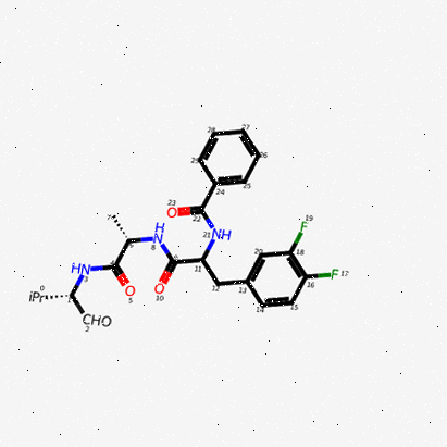 CC(C)[C@@H](C=O)NC(=O)[C@H](C)NC(=O)C(Cc1ccc(F)c(F)c1)NC(=O)c1ccccc1